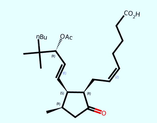 CCCCC(C)(C)[C@@H](/C=C/[C@@H]1[C@H](C)CC(=O)[C@@H]1C/C=C\CCCC(=O)O)OC(C)=O